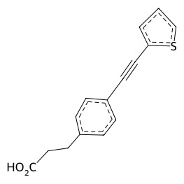 O=C(O)CCc1ccc(C#Cc2cccs2)cc1